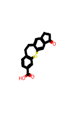 O=C(O)c1ccc2c(c1)Sc1cc3c(cc1CC2)CCC3=O